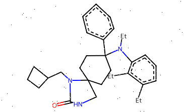 CCc1cccc(N(CC)C2(c3ccccc3)CCC3(CC2)CNC(=O)N3CC2CCC2)c1CC